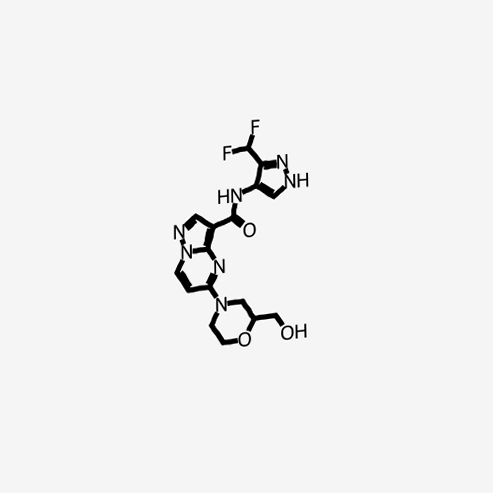 O=C(Nc1c[nH]nc1C(F)F)c1cnn2ccc(N3CCOC(CO)C3)nc12